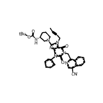 CC#CCn1c(N2CCC[C@@H](NC(=O)OC(C)(C)C)C2)nc2c1c(=O)n(Cc1ncc(C#N)c3ccccc13)c(=O)n2-c1ccccc1